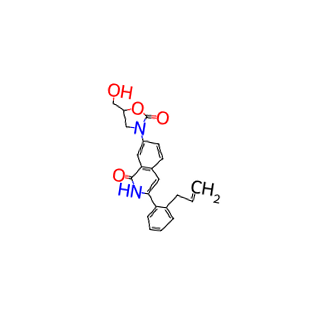 C=CCc1ccccc1-c1cc2ccc(N3CC(CO)OC3=O)cc2c(=O)[nH]1